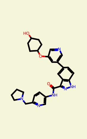 O=C(Nc1ccc(CN2CCCC2)nc1)c1n[nH]c2ccc(-c3cncc(OC4CCC(O)CC4)c3)cc12